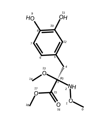 CON[C@](Cc1ccc(O)c(O)c1)(OC)C(=O)OC